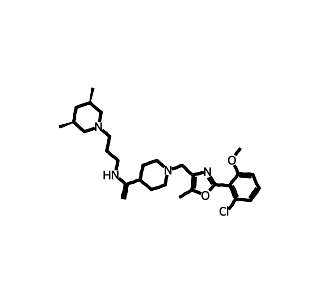 C=C(NCCCN1C[C@H](C)C[C@H](C)C1)C1CCN(Cc2nc(-c3c(Cl)cccc3OC)oc2C)CC1